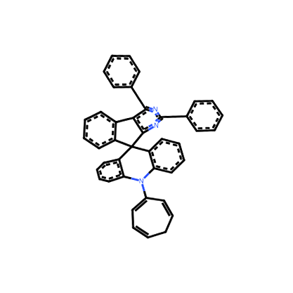 C1=CCC=CC(N2c3ccccc3C3(c4ccccc4-c4c(-c5ccccc5)nc(-c5ccccc5)nc43)c3ccccc32)=C1